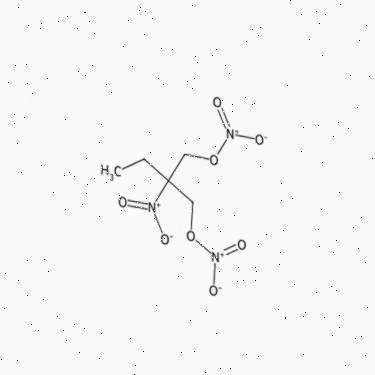 CCC(CO[N+](=O)[O-])(CO[N+](=O)[O-])[N+](=O)[O-]